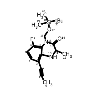 CC#Cc1ccc(F)c2c1NC(C)C(=O)N2CO[Si](C)(C)C(C)(C)C